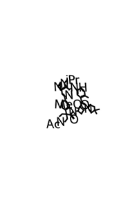 COC(=O)c1cc(Nc2nc(-c3ccc4c(c3)N(C3CC(N5CCC(C)(C)C5)C3)C(=O)C43CCN(C(C)=O)CC3)cc3ncn(C(C)C)c23)ccc1C